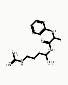 CC(Nc1ccccc1)C(=O)NC(CCCNC(=N)N)C(=O)O